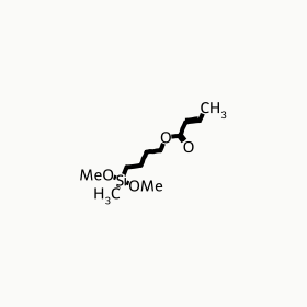 CC=CC(=O)OCCCC[Si](C)(OC)OC